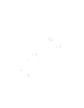 FC(F)(F)c1ccc(Cc2c(Cl)nc3ccc(I)cc3c2Cl)s1